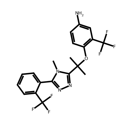 Cn1c(-c2ccccc2C(F)(F)F)nnc1C(C)(C)Oc1ccc(N)cc1C(F)(F)F